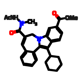 COC(=O)c1ccc2c(C3CCCCC3)c3n(c2c1)CC(C(=O)N(C)NC(C)=O)=Cc1ccccc1-3